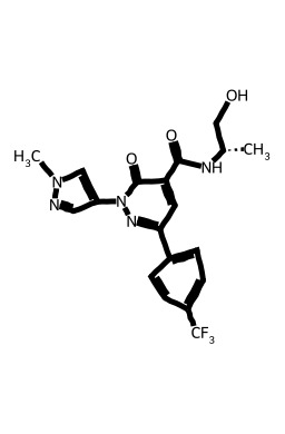 C[C@@H](CO)NC(=O)c1cc(-c2ccc(C(F)(F)F)cc2)nn(-c2cnn(C)c2)c1=O